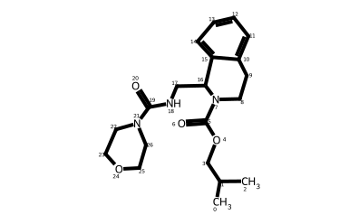 CC(C)COC(=O)N1CCc2ccccc2C1CNC(=O)N1CCOCC1